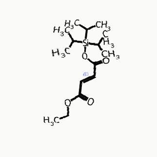 CCOC(=O)/C=C/C(=O)O[Si](C(C)C)(C(C)C)C(C)C